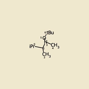 CC(C)C(C)N(C)OC(C)(C)C